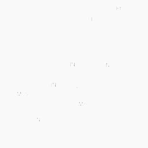 CCc1ccc2ncc(NC(=O)Nc3c(SC)cc(C)nc3SC)c(-c3ccccc3Cl)c2c1